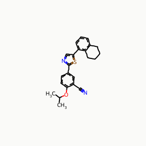 CC(C)Oc1ccc(-c2ncc(-c3cccc4c3CCCC4)s2)cc1C#N